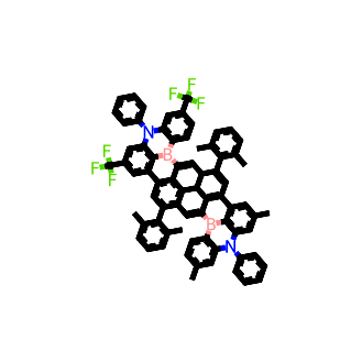 Cc1ccc2c(c1)N(c1ccccc1)c1cc(C)cc3c1B2C1=Cc2c(-c4c(C)cccc4C)cc4c5c2C2C1=C3C=C(c1c(C)cccc1C)C2C=C5B1c2ccc(C(F)(F)F)cc2N(c2ccccc2)c2cc(C(F)(F)F)cc-4c21